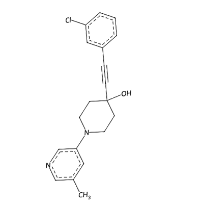 Cc1cncc(N2CCC(O)(C#Cc3cccc(Cl)c3)CC2)c1